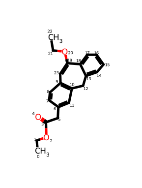 CCOC(=O)Cc1ccc2c(c1)Cc1ccccc1C(OCC)=C2